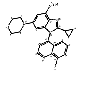 O=C(O)c1cc(N2CCOCC2)cc2c1nc(C1CC1)n2-c1ccnc2c(F)cccc12